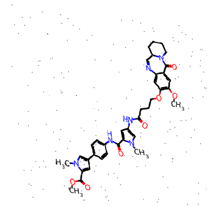 COC(=O)c1cc(-c2ccc(NC(=O)c3cc(NC(=O)CCCOc4cc5c(cc4OC)C(=O)N4CCCCC4C=N5)cn3C)cc2)cn1C